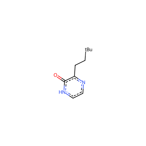 CC(C)(C)CCc1ncc[nH]c1=O